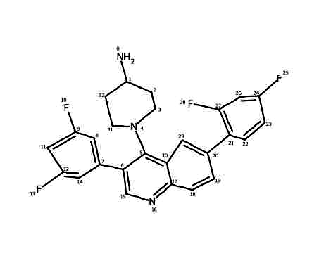 NC1CCN(c2c(-c3cc(F)cc(F)c3)cnc3ccc(-c4ccc(F)cc4F)cc23)CC1